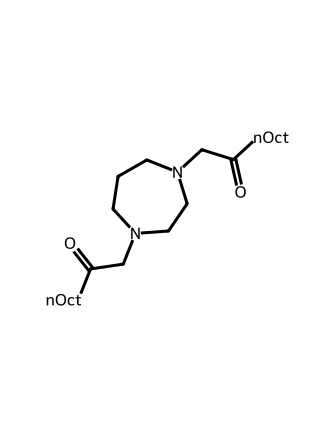 CCCCCCCCC(=O)CN1CCCN(CC(=O)CCCCCCCC)CC1